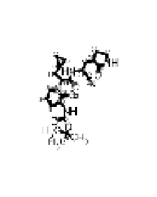 CC(C)(C)OC(=O)Nc1cccn(C(CC2CC2)C(=O)NC(C#N)CC2CCNC2=O)c1=O